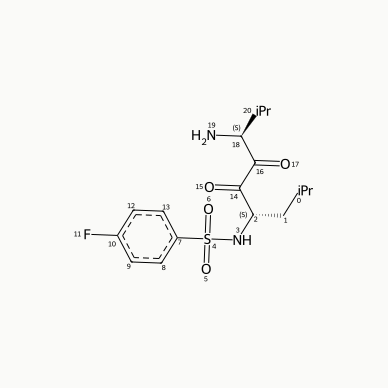 CC(C)C[C@H](NS(=O)(=O)c1ccc(F)cc1)C(=O)C(=O)[C@@H](N)C(C)C